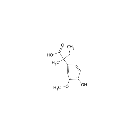 CCC(C)(C(=O)O)c1ccc(O)c(OC)c1